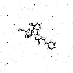 C=C(/C=C\C=C1\C=CC=CC1)CN1CC2NCCC(=O)N2[C@@H](CC(C)CCCC)C1=N